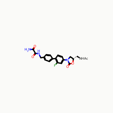 CC(=O)NC[C@H]1CN(c2ccc(-c3ccc(CNC(=O)C(N)=O)cc3)c(F)c2)C(=O)O1